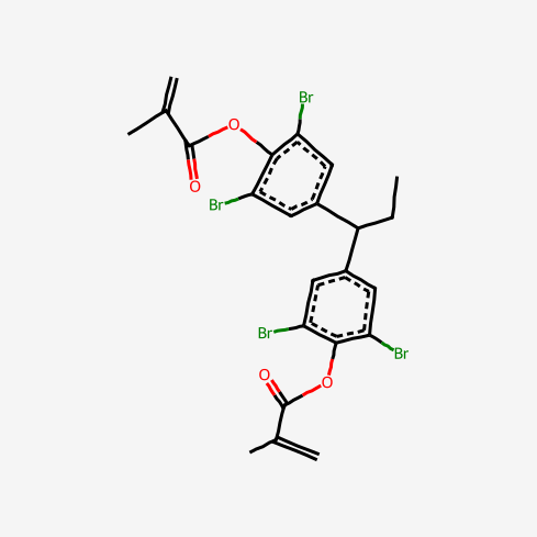 C=C(C)C(=O)Oc1c(Br)cc(C(CC)c2cc(Br)c(OC(=O)C(=C)C)c(Br)c2)cc1Br